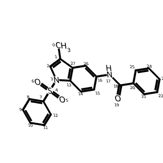 Cc1cn(S(=O)(=O)c2ccccc2)c2ccc(NC(=O)c3ccccc3)cc12